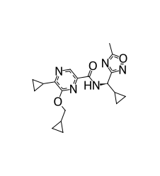 Cc1nc([C@H](NC(=O)c2cnc(C3CC3)c(OCC3CC3)n2)C2CC2)no1